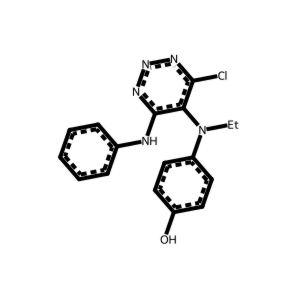 CCN(c1ccc(O)cc1)c1c(Cl)nnnc1Nc1ccccc1